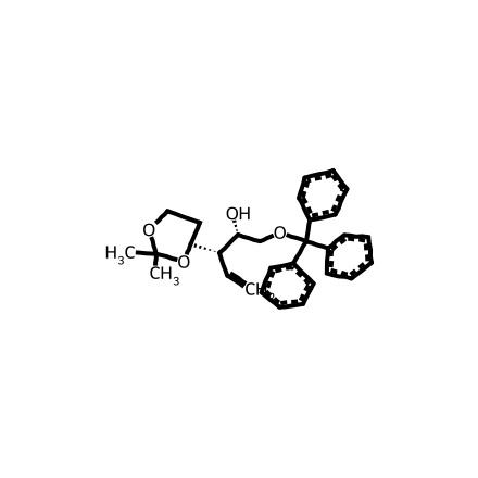 C=C[C@H](C1CCOC(C)(C)O1)[C@H](O)COC(c1ccccc1)(c1ccccc1)c1ccccc1